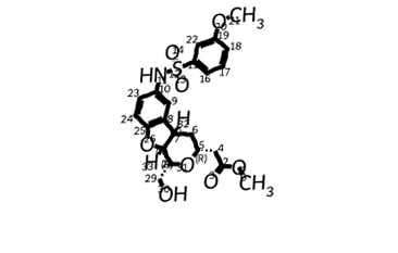 COC(=O)C[C@H]1C[C@H]2c3cc(NS(=O)(=O)c4cccc(OC)c4)ccc3O[C@H]2[C@@H](CO)O1